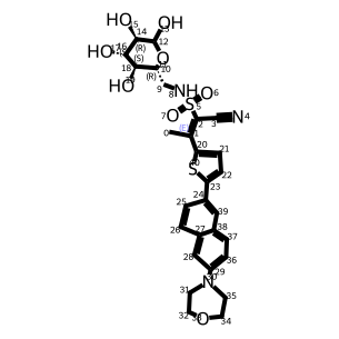 C/C(=C(/C#N)S(=O)(=O)NC[C@H]1OC(O)[C@H](O)[C@@H](O)[C@@H]1O)c1ccc(-c2ccc3cc(N4CCOCC4)ccc3c2)s1